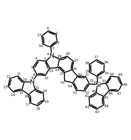 c1ccc(-n2c3ccc(-n4c5ccccc5c5ccccc54)cc3c3c4c(ccc32)-c2cc([Si]3(c5ccccc5)c5ccccc5-c5ccccc53)ccc2C4)cc1